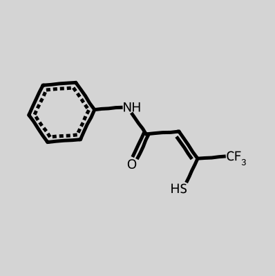 O=C(C=C(S)C(F)(F)F)Nc1ccccc1